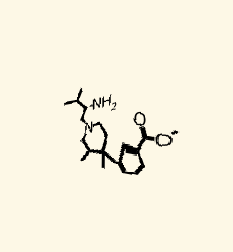 COC(=O)c1cccc(C2(C)CCN(C[C@@H](N)C(C)C)CC2C)c1